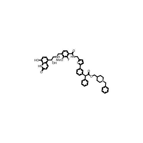 COc1c(CNC[C@H](O)c2ccc(O)c3[nH]c(=O)ccc23)ccc(C(=O)NCc2ccc(-c3cccc(C(C(=O)OCC4CCN(Cc5ccccc5)CC4)c4ccccc4)c3)s2)c1F